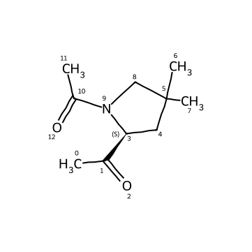 CC(=O)[C@@H]1CC(C)(C)CN1C(C)=O